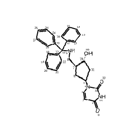 O=c1ccn([C@H]2C[C@@H](CNC(c3ccccc3)(c3ccccc3)c3ccccc3)[C@H](O)C2)c(=O)[nH]1